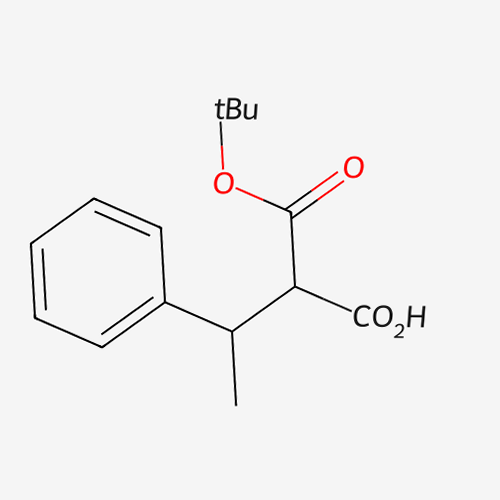 CC(c1ccccc1)C(C(=O)O)C(=O)OC(C)(C)C